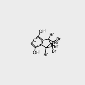 Oc1ccc(O)c2c1C1(Br)C(Br)=C(Br)C2(Br)C1(Br)Br